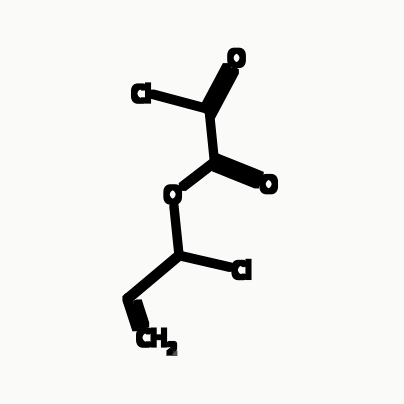 C=CC(Cl)OC(=O)C(=O)Cl